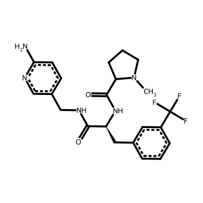 CN1CCCC1C(=O)N[C@@H](Cc1cccc(C(F)(F)F)c1)C(=O)NCc1ccc(N)nc1